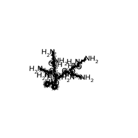 NCCCC[C@H](N)C(=O)NCCCC[C@H](NC(=O)[C@@H](N)CCCCN)C(=O)NCCCC[C@H](NC(=O)[C@H](CCCCNC(=O)[C@@H](N)CCCCN)NC(=O)[C@@H](N)CCCCN)C(=O)NC(c1ccccc1)c1ccccc1